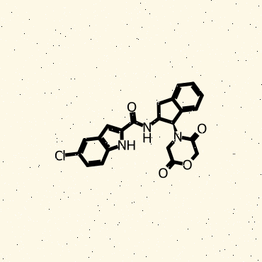 O=C1CN([C@@H]2c3ccccc3CC2NC(=O)c2cc3cc(Cl)ccc3[nH]2)C(=O)CO1